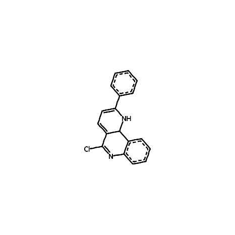 ClC1=Nc2ccccc2C2NC(c3ccccc3)=CC=C12